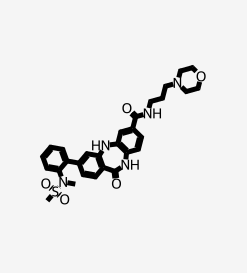 CN(c1ccccc1-c1ccc2c(c1)Nc1cc(C(=O)NCCCN3CCOCC3)ccc1NC2=O)S(C)(=O)=O